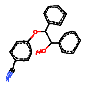 N#Cc1ccc(OC(c2ccccc2)C(O)c2ccccc2)cc1